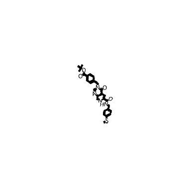 CSc1ccc(CNC(=O)c2cc3c(=O)n(Cc4ccc(C(=O)OC(C)(C)C)cc4)cnc3cn2)cc1